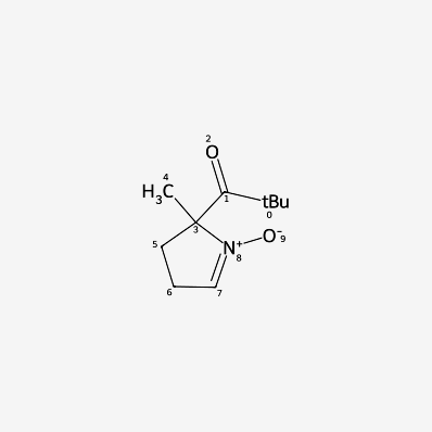 CC(C)(C)C(=O)C1(C)CCC=[N+]1[O-]